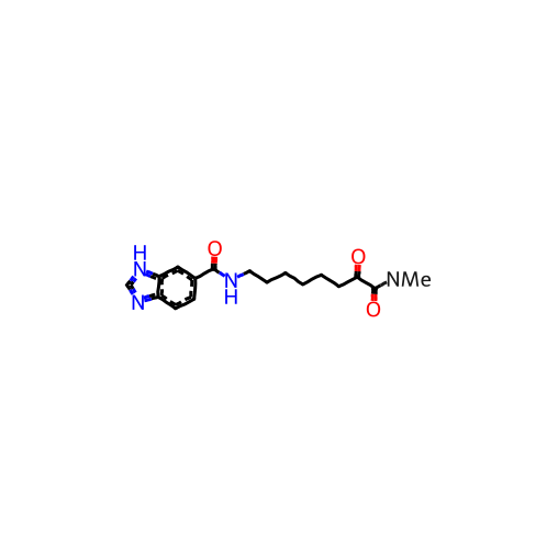 CNC(=O)C(=O)CCCCCCNC(=O)c1ccc2nc[nH]c2c1